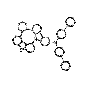 c1ccc(-c2ccc(N(c3ccc(-c4ccccc4)cc3)c3ccc4c(c3)c3cccc5c6ccccc6c6cccc7sc8cccc(c8c76)n4c53)cc2)cc1